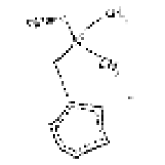 CCCCC[N+](C)(C)Cc1ccccc1.[I-]